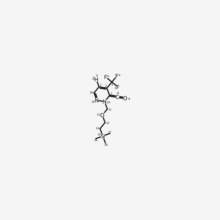 [2H]C1=C(C(F)(F)F)C(=C=O)N(COCC[Si](C)(C)C)N=C1